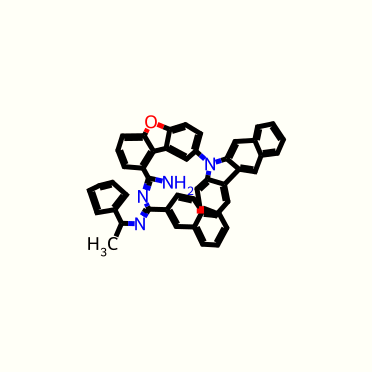 CC(/N=C(\N=C(/N)c1cccc2oc3ccc(-n4c5ccccc5c5cc6ccccc6cc54)cc3c12)c1ccc2ccccc2c1)c1ccccc1